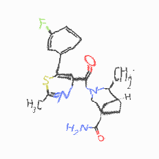 [CH2][C@H]1[C@H]2C[C@]2(C(N)=O)CN1C(=O)c1nc(C)sc1-c1cccc(F)c1